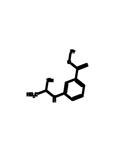 C=C(OC(C)C)c1cccc(NC(C(=O)O)C(C)(C)C)c1